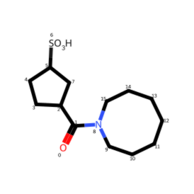 O=C(C1CCC(S(=O)(=O)O)C1)N1CCCCCCC1